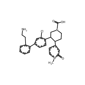 Cn1ccc(C2CCN(C(=O)O)CC2c2ccc(-c3ccccc3CCN)cc2Cl)cc1=O